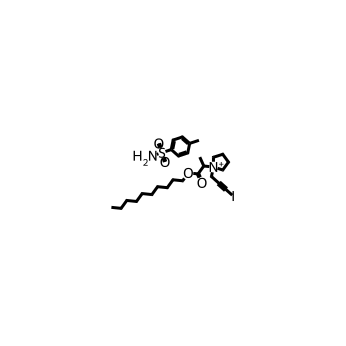 CCCCCCCCCCOC(=O)C(C)[N+]1(CC#CI)CCCC1.Cc1ccc(S(N)(=O)=O)cc1